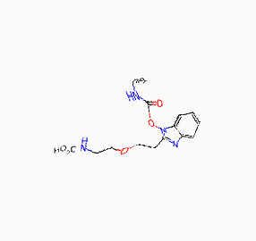 CCCNC(=O)On1c(CCOCCNC(=O)O)nc2ccccc21